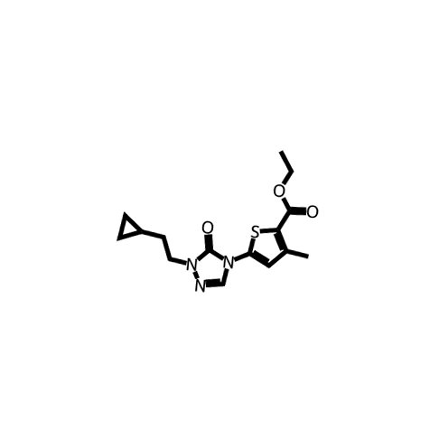 CCOC(=O)c1sc(-n2cnn(CCC3CC3)c2=O)cc1C